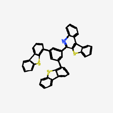 c1ccc2c(c1)nc(-c1cc(-c3cccc4c3sc3ccccc34)cc(-c3cccc4c3sc3ccccc34)c1)c1sc3ccccc3c12